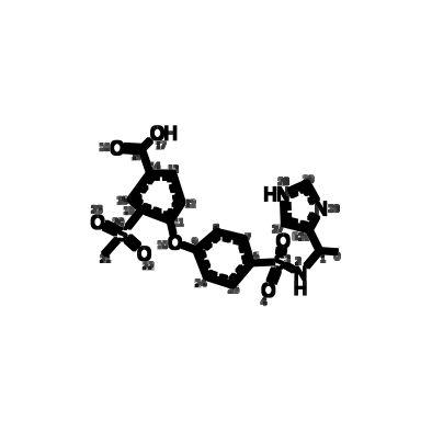 CC(NS(=O)(=O)c1ccc(Oc2ccc(C(=O)O)cc2S(C)(=O)=O)cc1)c1c[nH]cn1